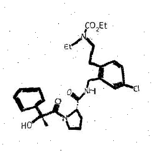 CCOC(=O)N(CC)CCc1ccc(Cl)cc1CNC(=O)[C@@H]1CCCN1C(=O)[C@](C)(O)c1ccccc1